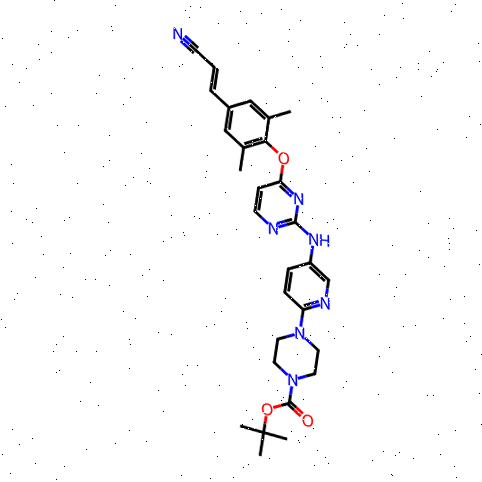 Cc1cc(C=CC#N)cc(C)c1Oc1ccnc(Nc2ccc(N3CCN(C(=O)OC(C)(C)C)CC3)nc2)n1